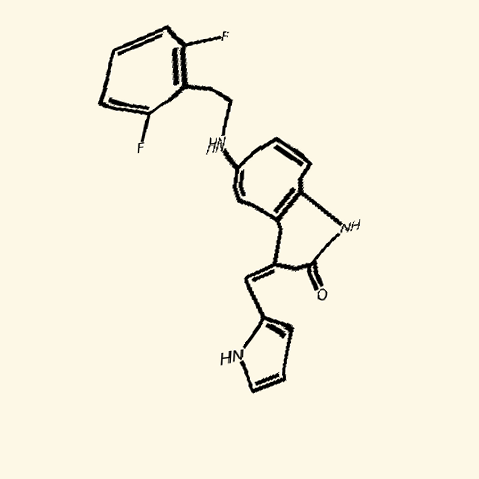 O=C1Nc2ccc(NCc3c(F)cccc3F)cc2/C1=C/c1ccc[nH]1